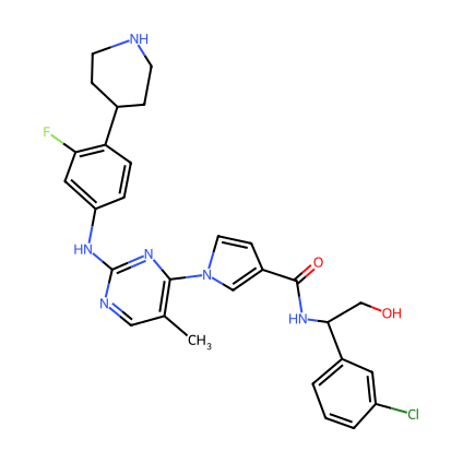 Cc1cnc(Nc2ccc(C3CCNCC3)c(F)c2)nc1-n1ccc(C(=O)NC(CO)c2cccc(Cl)c2)c1